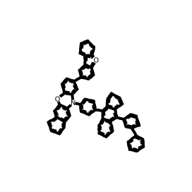 c1ccc(-c2cccc(-c3c4ccccc4c(-c4ccc(N5c6cc(-c7ccc8oc9ccccc9c8c7)ccc6Oc6cc7ccccc7cc65)cc4)c4ccccc34)c2)cc1